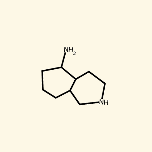 NC1CCCC2CNCCC12